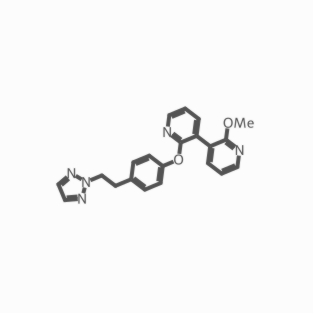 COc1ncccc1-c1cccnc1Oc1ccc(CCn2nccn2)cc1